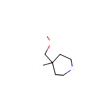 CC(C)OCC1(C(=O)O)CCNCC1